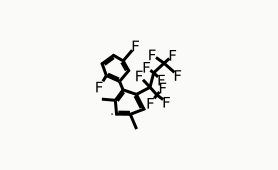 Cc1[c]c(C)c(-c2cc(F)ccc2F)c(C(F)(C(F)(F)F)C(F)(F)C(F)(F)F)c1